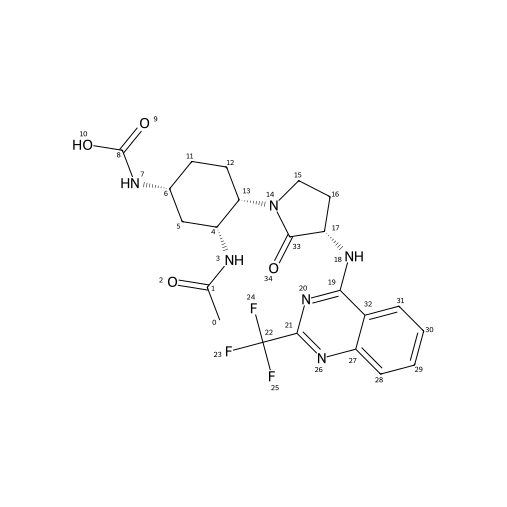 CC(=O)N[C@@H]1C[C@H](NC(=O)O)CC[C@@H]1N1CC[C@H](Nc2nc(C(F)(F)F)nc3ccccc23)C1=O